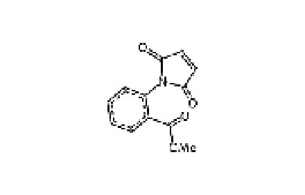 COC(=O)c1ccccc1N1C(=O)C=CC1=O